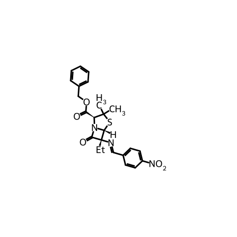 CC[C@@]1(N=Cc2ccc([N+](=O)[O-])cc2)C(=O)N2[C@@H](C(=O)OCc3ccccc3)C(C)(C)S[C@@H]21